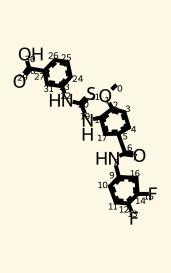 COc1ccc(C(=O)Nc2ccc(F)c(F)c2)cc1NC(=S)Nc1cccc(C(=O)O)c1